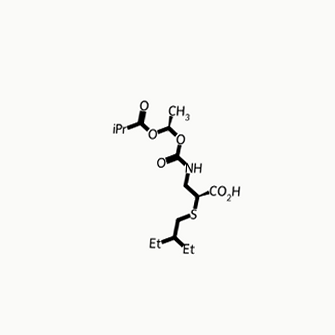 CCC(CC)CS[C@@H](CNC(=O)O[C@H](C)OC(=O)C(C)C)C(=O)O